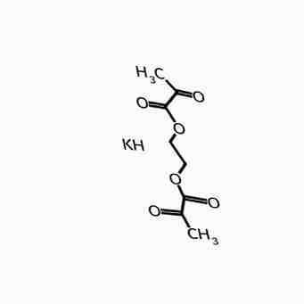 CC(=O)C(=O)OCCOC(=O)C(C)=O.[KH]